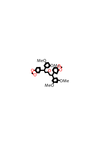 COc1cc(OC)cc(C(CC(=O)CC(c2cc(OC)cc(OC)c2)c2ccc3c(c2)OCO3)c2ccc3c(c2)OCO3)c1